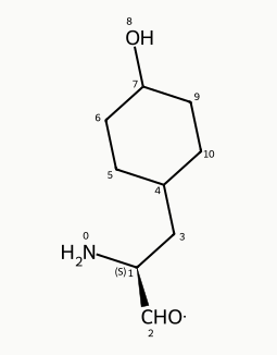 N[C@H]([C]=O)CC1CCC(O)CC1